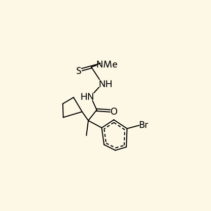 CNC(=S)NNC(=O)C(C)(c1cccc(Br)c1)C1CCC1